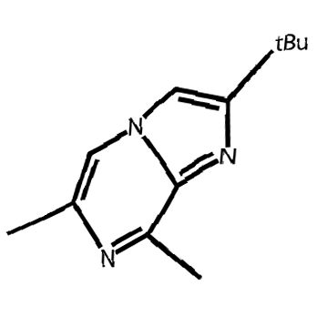 Cc1cn2cc(C(C)(C)C)nc2c(C)n1